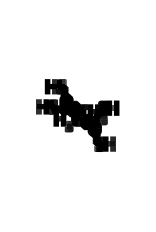 CC(C)(c1ccc(OCCCS)c(CCCS)c1)c1ccc(OCCCS)c(CCCS)c1